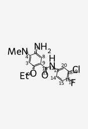 CCOc1cc(NC)c(N)cc1C(=O)Nc1ccc(F)c(Cl)c1